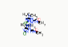 CC(=O)NCCNc1nc(Cl)ncc1N(C)C.CC(=O)NCCNc1nc(Cl)ncc1N(C)C